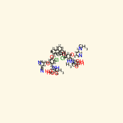 C/N=C/c1cncc(COc2cc(OCc3cccc(-c4cccc(COc5cc(OCc6cncc(C#N)c6)c(CNC(C)(CO)C(=O)O)cc5Cl)c4C)c3C)c(Cl)cc2CN[C@@](C)(CO)C(=O)O)c1